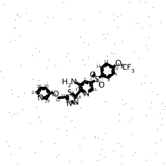 Nc1cc(S(=O)(=O)c2ccc(OC(F)(F)F)cc2)cnc1-c1nnc(COc2cccnc2)s1